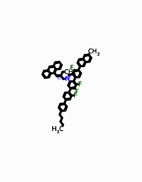 CCCCCc1ccc(-c2ccc(-c3ccc(-c4ccc(-c5ccc6cc(C)ccc6c5)c(F)c4/C=N/C/C(=C/c4c5ccccc5cc5ccccc45)CC)c(F)c3F)c(F)c2)cc1